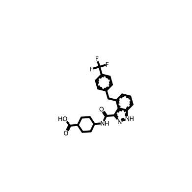 O=C(NC1CCC(C(=O)O)CC1)c1n[nH]c2cccc(Cc3ccc(C(F)(F)F)cc3)c12